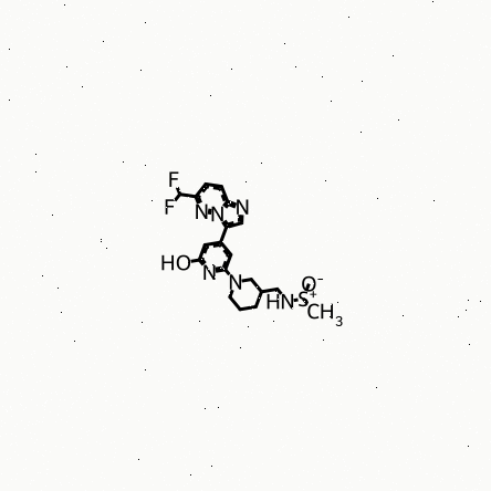 C[S+]([O-])NCC1CCCN(c2cc(-c3cnc4ccc(C(F)F)nn34)cc(O)n2)C1